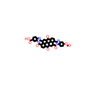 O=COc1ccc2c(c1)nc1c3ccc4c(=O)c5cc6c7c(ccc8c(=O)c9cc(c(=O)n21)c3c4c9c5c87)c(=O)n1c2cc(C(=O)O)ccc2nc61